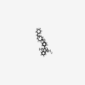 Nc1ccccc1NC(=O)c1ccc(O[C@@H]2CCCN(CC3CCCCC3)CC2)cc1